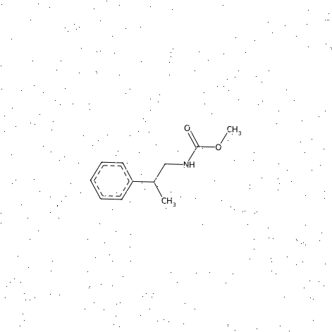 COC(=O)NCC(C)c1ccccc1